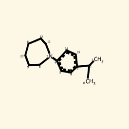 CC(C)c1ccc(N2CCCCCC2)cc1